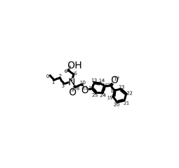 CCCCN(CCO)C(=O)COc1ccc(C(=O)c2ccccc2)cc1